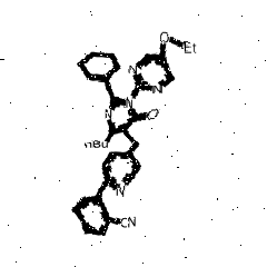 CCCCc1nc(C2CCCCC2)n(-c2ncc(OCC)cn2)c(=O)c1Cc1ccc(-c2ccccc2C#N)nc1